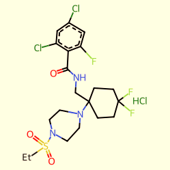 CCS(=O)(=O)N1CCN(C2(CNC(=O)c3c(F)cc(Cl)cc3Cl)CCC(F)(F)CC2)CC1.Cl